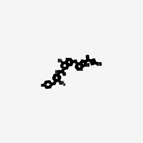 CC[C@H]1CN(C(=O)Nc2ccc(CN3CCN(C)CC3)c(C(F)(F)F)c2)Cc2cc(Oc3ccnc4[nH]c(C(=O)N5CC(C#N)C5)cc34)cnc21